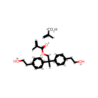 C=C(C)C(=O)O.C=C(C)C(=O)OCC(C)(c1ccc(CCO)cc1)c1ccc(CCO)cc1